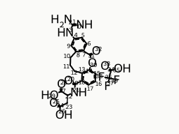 N=C(N)Nc1ccc2c(c1)CCCc1c(cccc1C(=O)N[C@@H](CC(=O)O)C(=O)O)OC2=O.O=C(O)C(F)(F)F